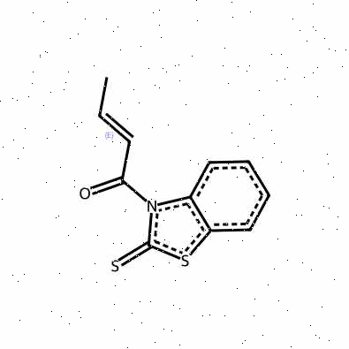 C/C=C/C(=O)n1c(=S)sc2ccccc21